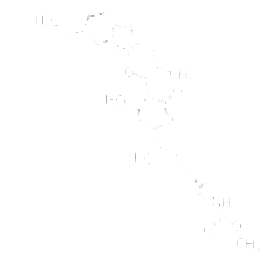 CCc1ccc2cc(CC(C)C(=O)c3c(O)cc(C(C)CC/C=C/NC(=O)OC)oc3=O)oc2c1